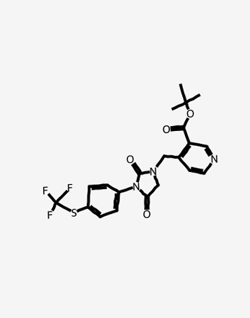 CC(C)(C)OC(=O)c1cnccc1CN1CC(=O)N(c2ccc(SC(F)(F)F)cc2)C1=O